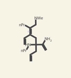 C=CCC(C/C(C=C)=C(/CCC)CNC)(NCCC)C(=C)N